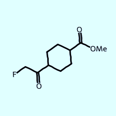 COC(=O)C1CCC(C(=O)CF)CC1